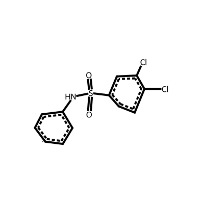 O=S(=O)(Nc1cc[c]cc1)c1ccc(Cl)c(Cl)c1